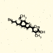 COc1cc2sc(C(=O)C[C@H](C)C(=O)O)cc2cc1CCCBr